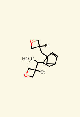 CCC1(CC23C=CC(CC2C(C(=O)O)C2(CC)COC2)C3)COC1